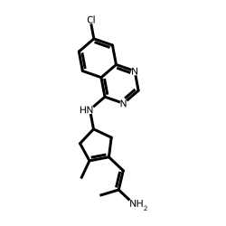 CC1=C(/C=C(\C)N)CC(Nc2ncnc3cc(Cl)ccc23)C1